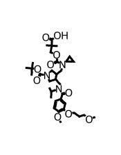 COCCCOc1cc(C(=O)N(CC2CN(C(=O)OC(C)(C)C)CC2CN(C(=O)OCC(C)(C)C(=O)O)C2CC2)C(C)C)ccc1OC